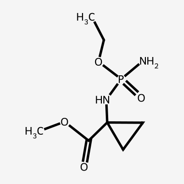 CCOP(N)(=O)NC1(C(=O)OC)CC1